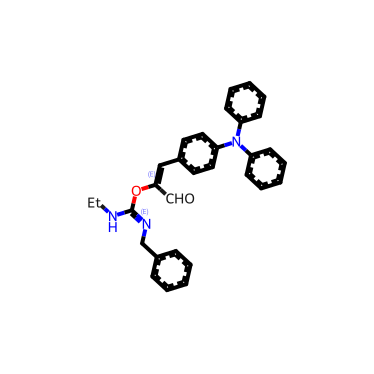 CCN/C(=N\Cc1ccccc1)O/C(C=O)=C/c1ccc(N(c2ccccc2)c2ccccc2)cc1